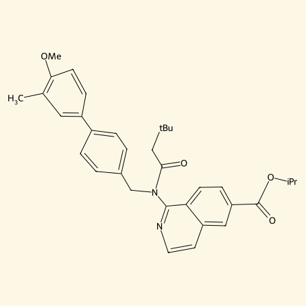 COc1ccc(-c2ccc(CN(C(=O)CC(C)(C)C)c3nccc4cc(C(=O)OC(C)C)ccc34)cc2)cc1C